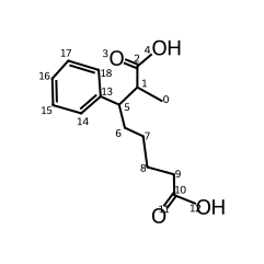 CC(C(=O)O)C(CCCCC(=O)O)c1ccccc1